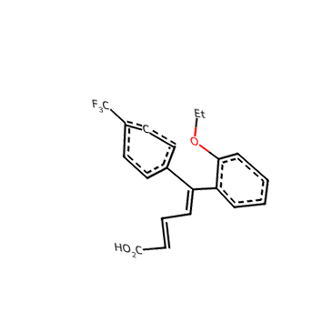 CCOc1ccccc1C(=CC=CC(=O)O)c1ccc(C(F)(F)F)cc1